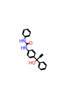 C#CC(O)(c1ccccc1)c1ccc(NC(=O)Nc2ccccc2)cc1